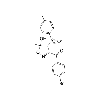 Cc1ccc([S@+]([O-])C2C(C(=O)c3ccc(Br)cc3)=NOC2(C)O)cc1